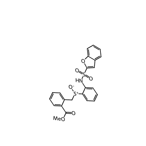 COC(=O)c1ccccc1C[S+]([O-])c1ccccc1NS(=O)(=O)c1cc2ccccc2o1